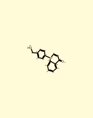 O=c1ccn(-c2ccc(CO)cc2)c2ccccc12